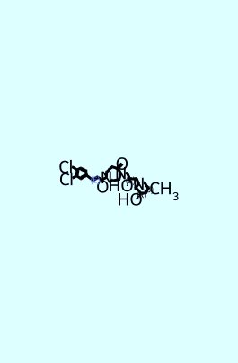 C[C@H]1C[C@@H](O)CN(C[C@H](O)CN2CCN(C(=O)/C=C/c3ccc(Cl)c(Cl)c3)CCC2=O)C1